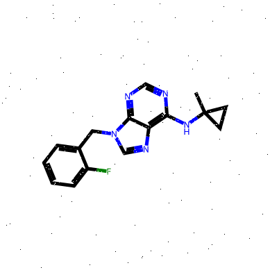 CC1(Nc2ncnc3c2ncn3Cc2ccccc2F)CC1